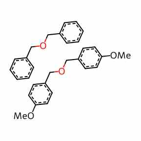 COc1ccc(COCc2ccc(OC)cc2)cc1.c1ccc(COCc2ccccc2)cc1